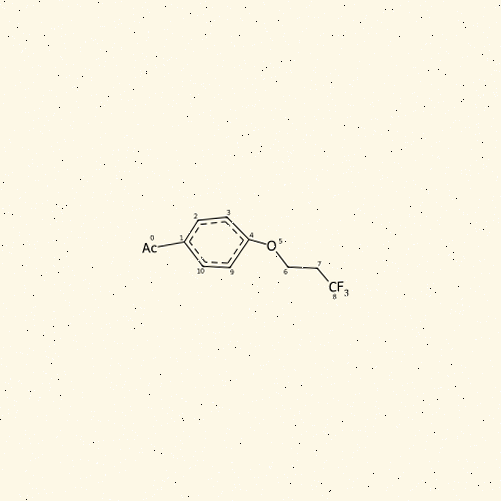 CC(=O)c1ccc(OCCC(F)(F)F)cc1